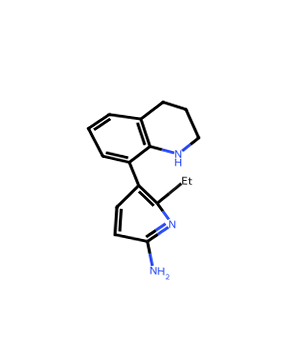 CCc1nc(N)ccc1-c1cccc2c1NCCC2